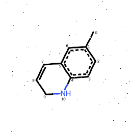 Cc1ccc2c(c1)C=CCN2